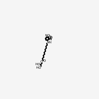 O=C(CCCCCCCCCCCNc1ccc([N+](=O)[O-])c2nonc12)OC[C@H](O)CO